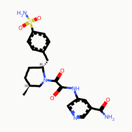 C[C@H]1CC[C@H](Cc2ccc(S(N)(=O)=O)cc2)N(C(=O)C(=O)Nc2cncc(C(N)=O)c2)C1